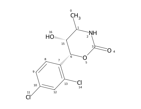 CC1NC(=O)O[C@H](c2ccc(Cl)cc2Cl)[C@@H]1O